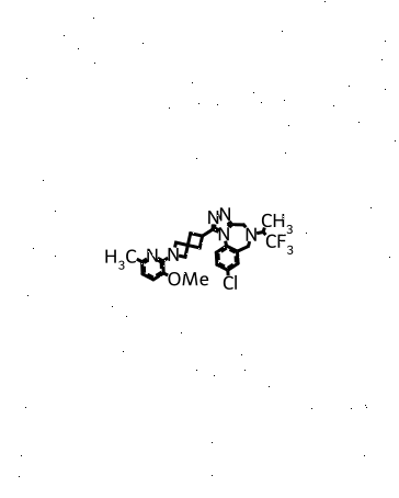 COc1ccc(C)nc1N1CC2(CC(c3nnc4n3-c3ccc(Cl)cc3CN(C(C)C(F)(F)F)C4)C2)C1